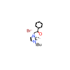 CCC(C)N1[C+]N(CC(=O)c2ccccc2)C=C1.[Br-]